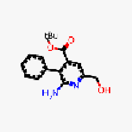 CC(C)(C)OC(=O)c1cc(CO)nc(N)c1-c1ccccc1